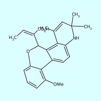 C/C=C(/C(=O)O)C1Oc2cccc(OC)c2-c2ccc3c(c21)C(C)=CC(C)(C)N3